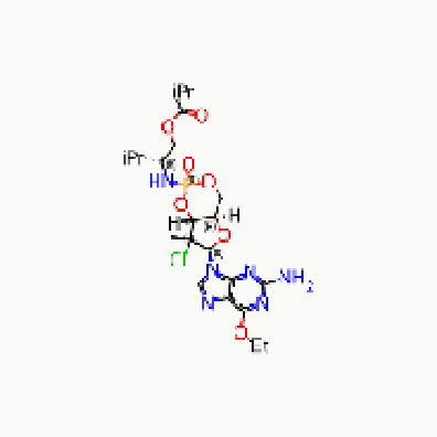 CCOc1nc(N)nc2c1ncn2[C@@H]1O[C@@H]2CO[P@](=O)(N[C@@H](COC(=O)C(C)C)C(C)C)O[C@H]2[C@@]1(C)Cl